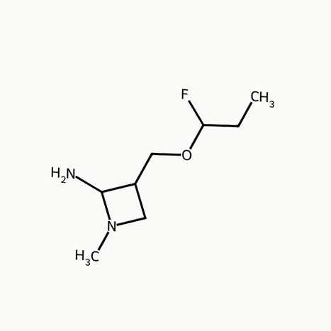 CCC(F)OCC1CN(C)C1N